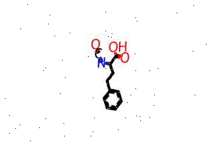 O=C=NC(CCc1ccccc1)C(=O)O